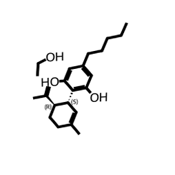 C=C(C)[C@@H]1CCC(C)=C[C@H]1c1c(O)cc(CCCCC)cc1O.CCO